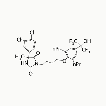 CCCc1cc(C(O)(C(F)(F)F)C(F)(F)F)cc(CCC)c1OCCCCN1C(=O)NC(C)(c2ccc(Cl)c(Cl)c2)C1=O